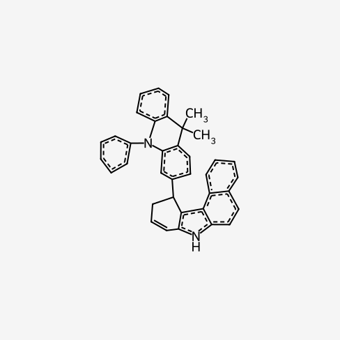 CC1(C)c2ccccc2N(c2ccccc2)c2cc(C3CC=Cc4[nH]c5ccc6ccccc6c5c43)ccc21